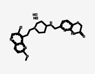 COc1ccc2ncc(Cl)c(CCN3CCC(NCc4ccc5c(n4)NC(=O)CS5)CC3)c2n1.Cl.Cl